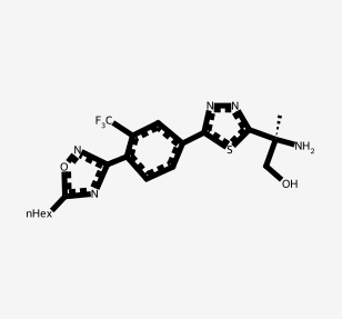 CCCCCCc1nc(-c2ccc(-c3nnc([C@@](C)(N)CO)s3)cc2C(F)(F)F)no1